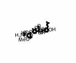 CO[C@@H]1C(OC(N)=O)[C@H](O)C(Oc2ccc3c(O)c(NC(=O)c4ccc(O)c(CC=C(C)C)c4)c(=O)oc3c2C)OC1(C)C